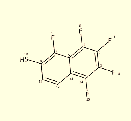 Fc1c(F)c(F)c2c(F)c(S)ccc2c1F